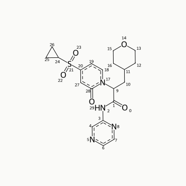 O=C(Nc1cnccn1)C(CC1CCOCC1)n1ccc(S(=O)(=O)C2CC2)cc1=O